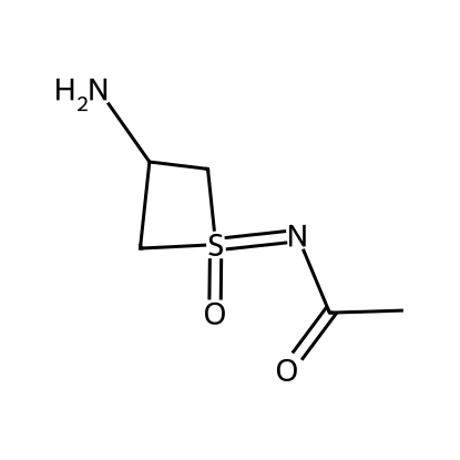 CC(=O)N=S1(=O)CC(N)C1